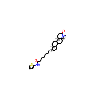 CN1C(=O)CC[C@]2(C)C3CC[C@@]4(C)C(CC[C@@H]4CCCCCCC(=O)Nc4cccs4)C3CC[C@@H]12